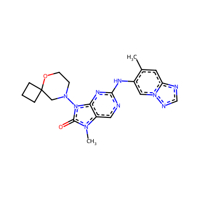 Cc1cc2ncnn2cc1Nc1ncc2c(n1)n(N1CCOC3(CCC3)C1)c(=O)n2C